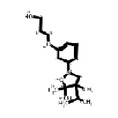 CC(C)C1(C)CB(C2C=CC=C(OCCCO)C2)OC1(C)C